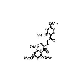 COc1ccc(C(=O)CC[PH](=O)C(=O)c2c(OC)cc(OC)cc2OC)c(OC)c1